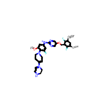 CCOc1cc(Nc2ncc(OCc3c(F)c(OC)cc(OC)c3F)cn2)cc(F)c1N1CCC(N2CCNCC2)CC1